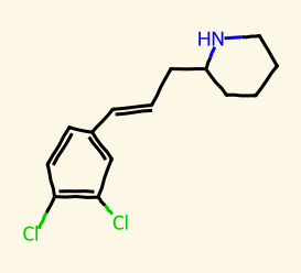 Clc1ccc(C=CCC2CCCCN2)cc1Cl